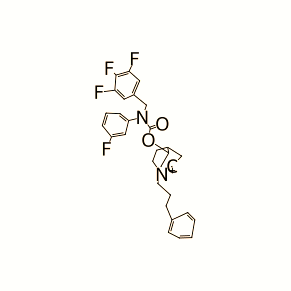 O=C(OC1C[N+]2(CCCc3ccccc3)CCC1CC2)N(Cc1cc(F)c(F)c(F)c1)c1cccc(F)c1